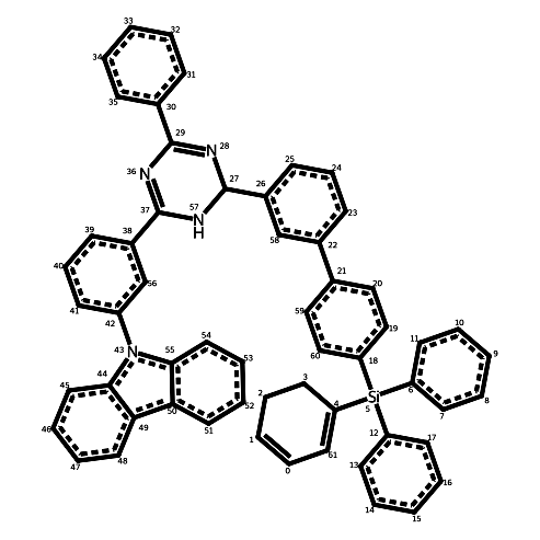 C1=CCCC([Si](c2ccccc2)(c2ccccc2)c2ccc(-c3cccc(C4N=C(c5ccccc5)N=C(c5cccc(-n6c7ccccc7c7ccccc76)c5)N4)c3)cc2)=C1